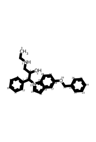 CCNCC(O)C(c1ccccc1)n1ccc2cc(OCc3ccccc3)ccc21